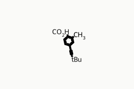 Cc1cc(C#CC(C)(C)C)ccc1C(=O)O